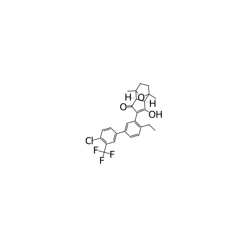 CCc1ccc(-c2ccc(Cl)c(C(F)(F)F)c2)cc1C1=C(O)[C@H]2[C@@H](C1=O)C1(C)CCC2(C)O1